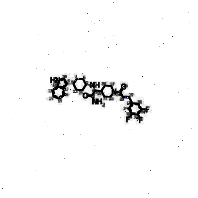 NC(=O)[C@H](N[C@H]1CC[C@@H](c2c[nH]c3ccccc32)CC1)C1CCN(C(=O)/C=C/c2cc(F)c(F)c(F)c2)CC1